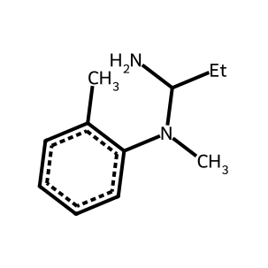 CCC(N)N(C)c1ccccc1C